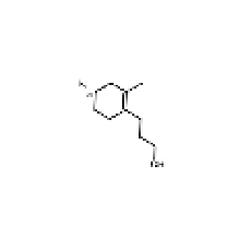 CC1=C(CCCO)CC[C@H](I)C1